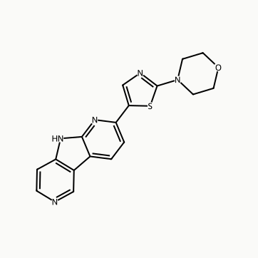 c1cc2[nH]c3nc(-c4cnc(N5CCOCC5)s4)ccc3c2cn1